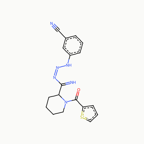 N#Cc1cccc(N/N=N\C(=N)C2CCCCN2C(=O)c2cccs2)c1